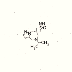 CC(C)N1Cc2ccnn2CC2(C1)CS(=N)(=O)C2